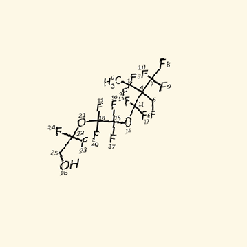 CC(F)(F)C(CF)(C(F)(F)F)C(F)(F)OC(F)(F)C(F)(F)OC(F)(F)CO